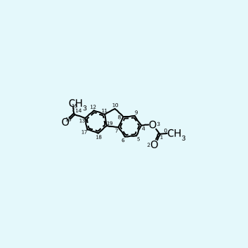 CC(=O)Oc1ccc2c(c1)Cc1cc(C(C)=O)ccc1-2